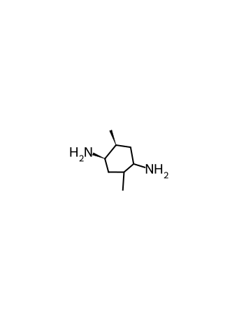 CC1C[C@@H](N)[C@@H](C)CC1N